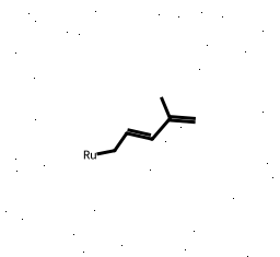 C=C(C)C=C[CH2][Ru]